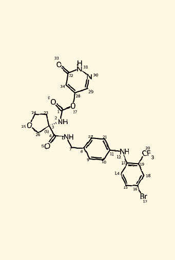 O=C(N[C@@]1(C(=O)NCc2ccc(Nc3ccc(Br)cc3C(F)(F)F)cc2)CCOC1)Oc1cn[nH]c(=O)c1